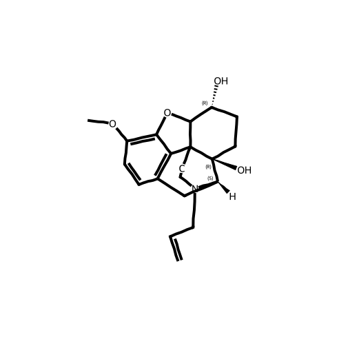 C=CCN1CCC23c4c5ccc(OC)c4OC2[C@H](O)CC[C@]3(O)[C@@H]1C5